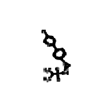 CC(C)S(=O)(=O)N[C@H]1C[C@@H]1c1ccc(-c2ccc(Cl)cn2)cc1